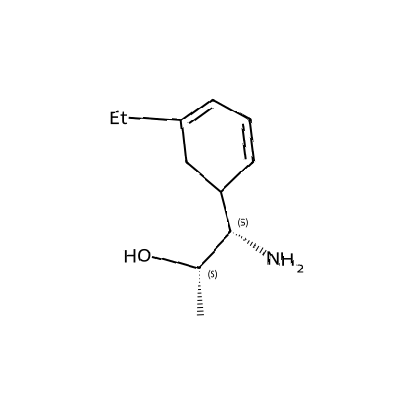 CCC1=CC=CC([C@H](N)[C@H](C)O)C1